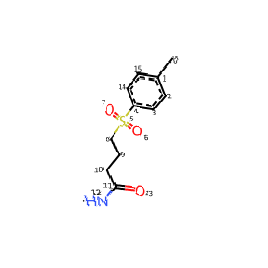 Cc1ccc(S(=O)(=O)CCCC([NH])=O)cc1